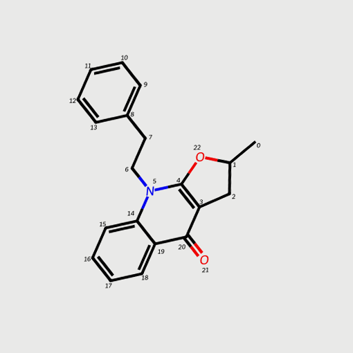 CC1Cc2c(n(CCc3ccccc3)c3ccccc3c2=O)O1